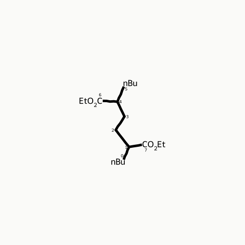 CCCCC(CCC(CCCC)C(=O)OCC)C(=O)OCC